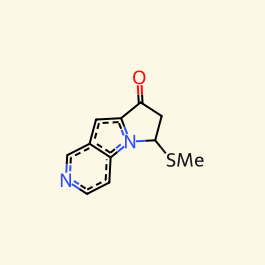 CSC1CC(=O)c2cc3cnccc3n21